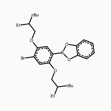 CCCCC(CC)COc1cc(B2Oc3ccccc3O2)c(OCC(CC)CCCC)cc1Br